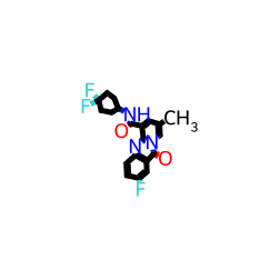 Cc1cc(C(=O)NC2CCC(F)(F)CC2)c2nc3ccc(F)cc3c(=O)n2c1